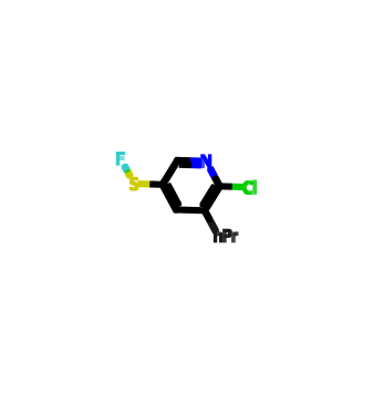 CCCc1cc(SF)cnc1Cl